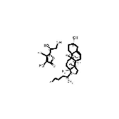 CC(C)CCC[C@@H](C)[C@H]1CC[C@H]2[C@@H]3CC=C4C[C@@H](O)CC[C@]4(C)[C@H]3CC[C@]12C.O=C1O[C@H]([C@@H](O)CO)C(O)=C1O